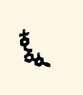 N#Cc1ccc(N(C=O)CC(=O)NCc2ccc(C(F)(F)F)cc2)c(F)c1